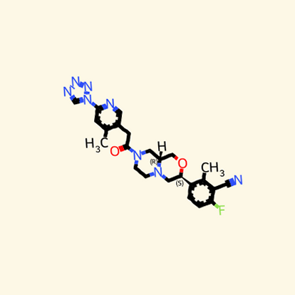 Cc1cc(-n2cnnn2)ncc1CC(=O)N1CCN2C[C@H](c3ccc(F)c(C#N)c3C)OC[C@H]2C1